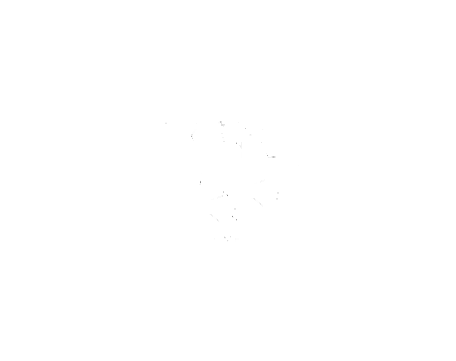 C=C[C@@H]1C[C@]1(NC(=O)[C@@H]1C[C@@H](Oc2cc(OC)nc(-c3ccccc3)n2)C[C@H]1C(=O)OC(C)(C)C)C(=O)OCC